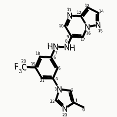 Cc1cn(-c2cc(NNc3cnc4ccnn4c3)cc(C(F)(F)F)c2)cn1